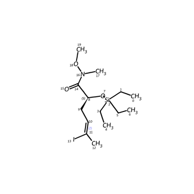 CC[Si](CC)(CC)O[C@@H](C/C=C(/C)I)C(=O)N(C)OC